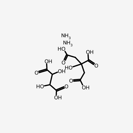 N.N.O=C(O)C(O)C(O)C(=O)O.O=C(O)CC(O)(CC(=O)O)C(=O)O